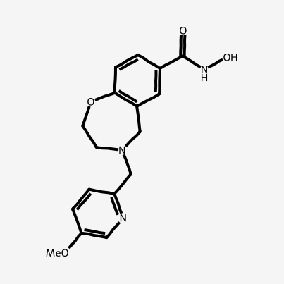 COc1ccc(CN2CCOc3ccc(C(=O)NO)cc3C2)nc1